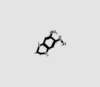 CCNc1cc2c(cc1[N+](=O)[O-])OCCO2